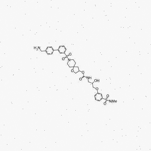 CNS(=O)(=O)c1cccc(OCC(O)CNC(=O)OC2COC3(CCN(S(=O)(=O)c4cccc(-c5ccc(CN)cc5)c4)CC3)C2)c1